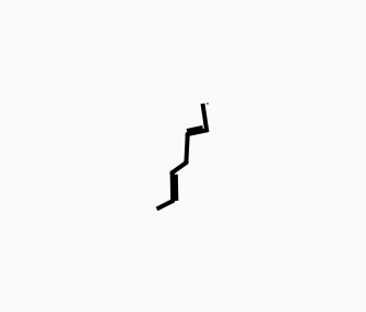 [CH2]/C=C/C/C=C/C